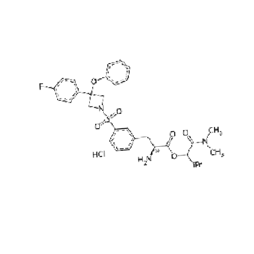 CC(C)C(OC(=O)[C@@H](N)Cc1cccc(S(=O)(=O)N2CC(Oc3ccccc3)(c3ccc(F)cc3)C2)c1)C(=O)N(C)C.Cl